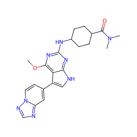 COc1nc(NC2CCC(C(=O)N(C)C)CC2)nc2[nH]cc(-c3ccn4ncnc4c3)c12